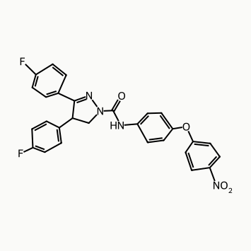 O=C(Nc1ccc(Oc2ccc([N+](=O)[O-])cc2)cc1)N1CC(c2ccc(F)cc2)C(c2ccc(F)cc2)=N1